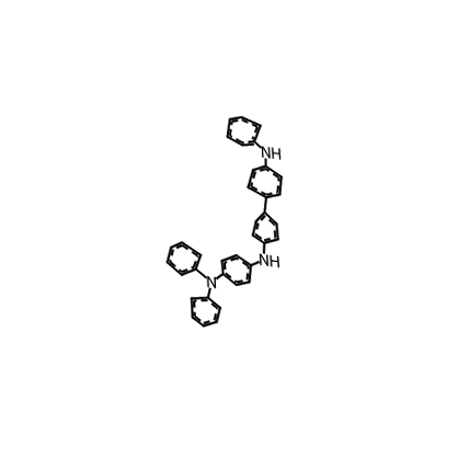 c1ccc(Nc2ccc(-c3ccc(Nc4ccc(N(c5ccccc5)c5ccccc5)cc4)cc3)cc2)cc1